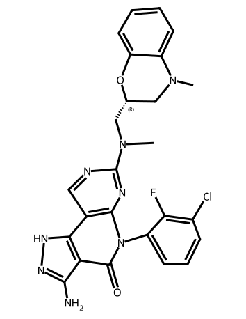 CN(C[C@H]1CN(C)c2ccccc2O1)c1ncc2c3[nH]nc(N)c3c(=O)n(-c3cccc(Cl)c3F)c2n1